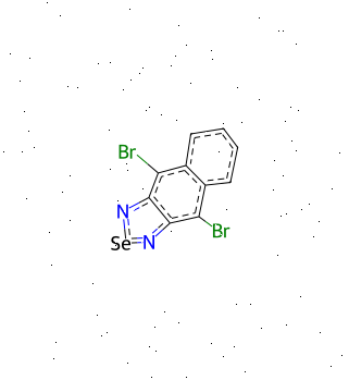 Brc1c2ccccc2c(Br)c2n[se]nc12